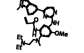 C=CC(=O)Nc1cc(Nc2nccc(-c3ccc4c(cnn4C)c3)n2)c(OC)cc1N(C)CCN(CC)CC